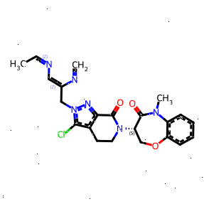 C=N/C(=C\N=C/C)Cn1nc2c(c1Cl)CCN([C@H]1COc3ccccc3N(C)C1=O)C2=O